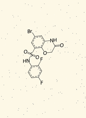 O=C1COc2c(cc(Br)cc2S(=O)(=O)Nc2ccc(F)cc2F)N1